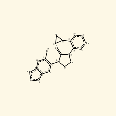 O=C1N(c2cc3ccsc3cc2F)CCN1c1cnccc1C1CC1